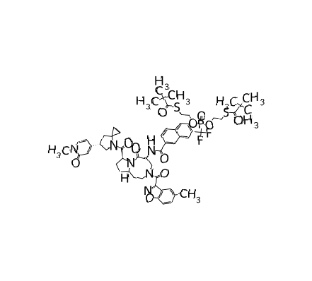 Cc1ccc2onc(C(=O)N3CC[C@H]4CC[C@@H](C(=O)N5C[C@H](c6ccn(C)c(=O)c6)CC56CC6)N4C(=O)[C@@H](NC(=O)c4ccc5ccc(C(F)(F)P(=O)(OCCSC(=O)C(C)(C)C)OCCSC(=O)C(C)(C)C)cc5c4)C3)c2c1